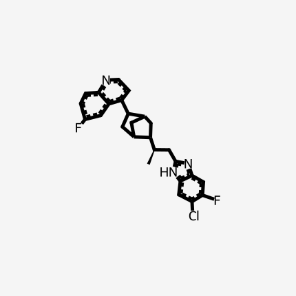 C[C@H](Cc1nc2cc(F)c(Cl)cc2[nH]1)C1CC2CC1CC2c1ccnc2ccc(F)cc12